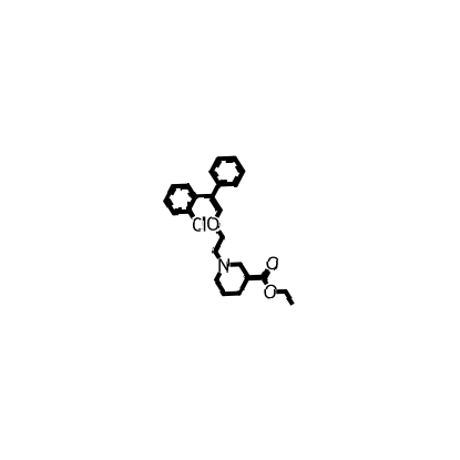 CCOC(=O)C1CCCN(CCOC=C(c2ccccc2)c2ccccc2Cl)C1